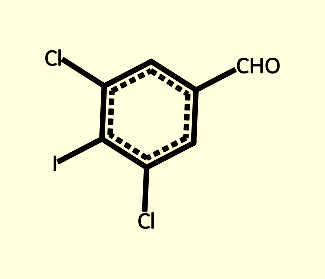 O=Cc1cc(Cl)c(I)c(Cl)c1